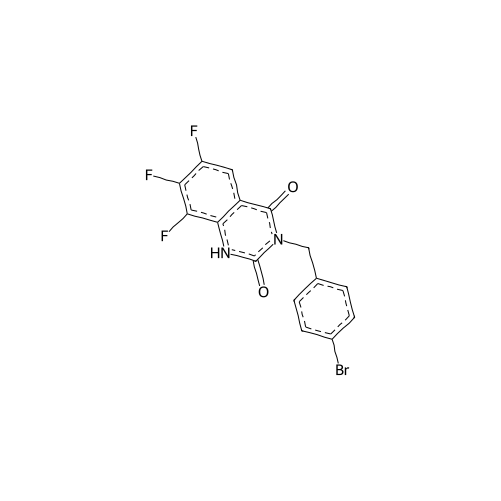 O=c1[nH]c2c(F)c(F)c(F)cc2c(=O)n1Cc1ccc(Br)cc1